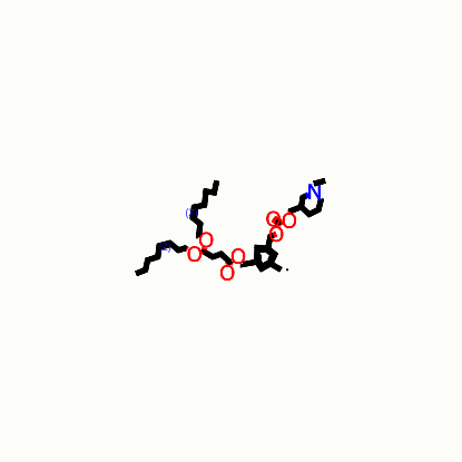 [CH2]c1cc(COC(=O)CCC(OCC/C=C\CCCC)OCC/C=C\CCCC)cc(COC(=O)OCC2CCCN(CC)C2)c1